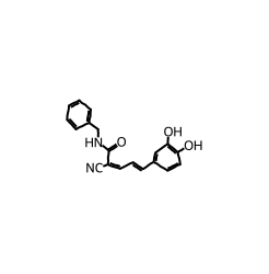 N#CC(=CC=Cc1ccc(O)c(O)c1)C(=O)NCc1ccccc1